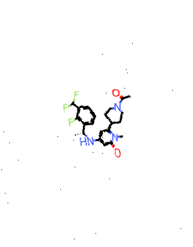 CC(=O)N1CCC(c2cc(N[C@H](C)c3cccc(C(F)F)c3F)cc(=O)n2C)CC1